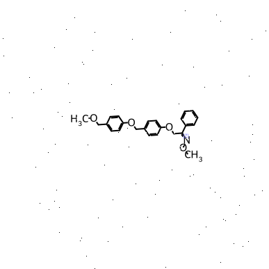 COCc1ccc(OCc2ccc(OC/C(=N\OC)c3ccccc3)cc2)cc1